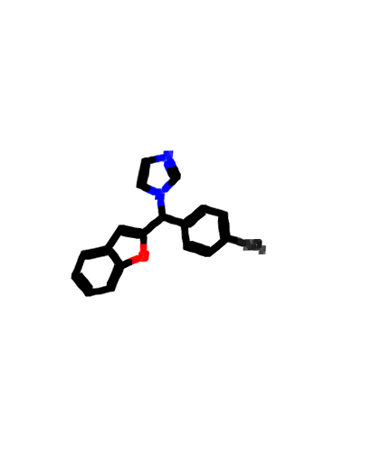 O=[N+]([O-])c1ccc(C(c2cc3ccccc3o2)n2ccnc2)cc1